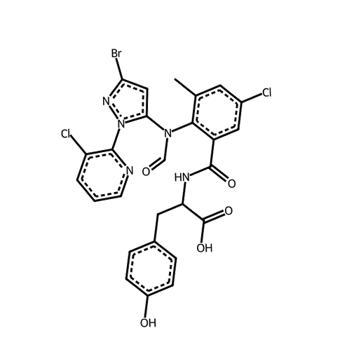 Cc1cc(Cl)cc(C(=O)NC(Cc2ccc(O)cc2)C(=O)O)c1N(C=O)c1cc(Br)nn1-c1ncccc1Cl